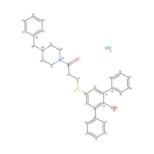 Cl.O=C(CCSc1cc(-c2ccccc2)c(O)c(-c2ccccc2)c1)N1CCN(Cc2ccccc2)CC1